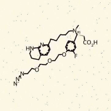 CN(CCCCCc1ccc2c(n1)NCCC2)[C@H](CC(=O)O)c1ccc(OCCOCCOCCN=[N+]=[N-])c(F)c1